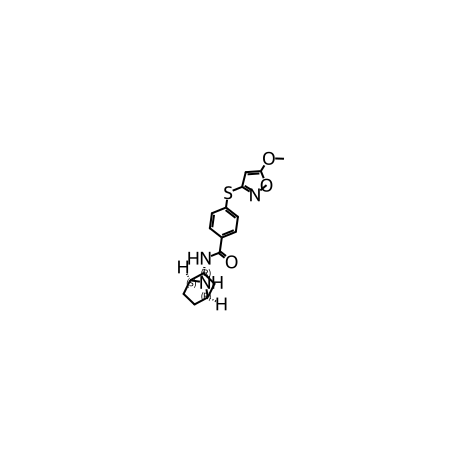 COc1cc(Sc2ccc(C(=O)N[C@@H]3C[C@H]4CC[C@@H]3N4)cc2)no1